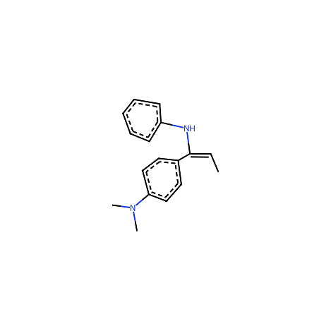 CC=C(Nc1ccccc1)c1ccc(N(C)C)cc1